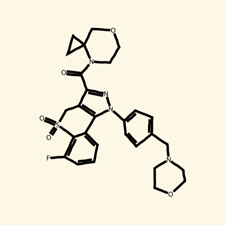 O=C(c1nn(-c2ccc(CN3CCOCC3)cc2)c2c1CS(=O)(=O)c1c(F)cccc1-2)N1CCOCC12CC2